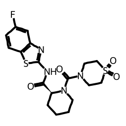 O=C(Nc1nc2cc(F)ccc2s1)[C@@H]1CCCCN1C(=O)N1CCS(=O)(=O)CC1